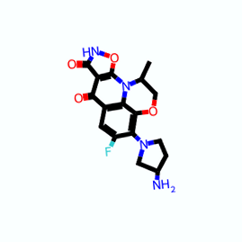 CC1COc2c(N3CCC(N)C3)c(F)cc3c(=O)c4c(=O)[nH]oc4n1c23